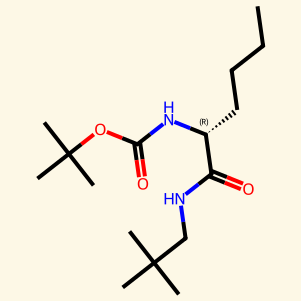 CCCC[C@@H](NC(=O)OC(C)(C)C)C(=O)NCC(C)(C)C